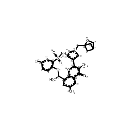 Cc1cc([C@@H](C)Oc2ccc(Cl)nc2S(N)(=O)=O)c2oc(-c3cnn(CC45CC(CO4)C5)c3)c(C)c(=O)c2c1